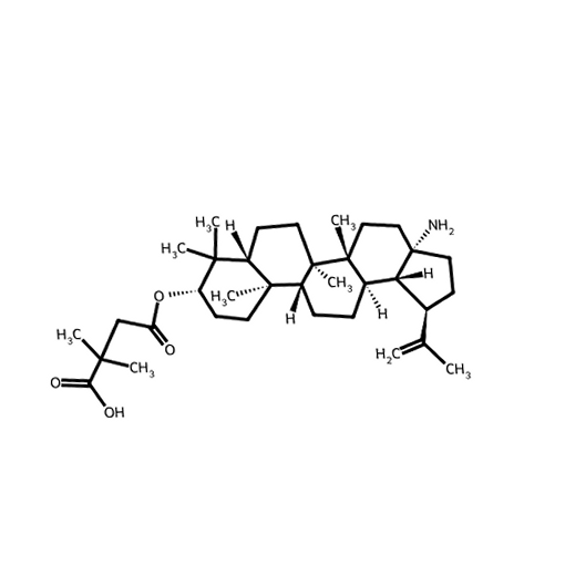 C=C(C)[C@@H]1CC[C@]2(N)CC[C@]3(C)[C@H](CC[C@@H]4[C@@]5(C)CC[C@H](OC(=O)CC(C)(C)C(=O)O)C(C)(C)[C@@H]5CC[C@]43C)[C@@H]12